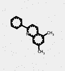 Cc1cc(C)c2ccc(-c3ccccc3)nc2c1